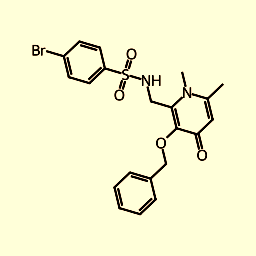 Cc1cc(=O)c(OCc2ccccc2)c(CNS(=O)(=O)c2ccc(Br)cc2)n1C